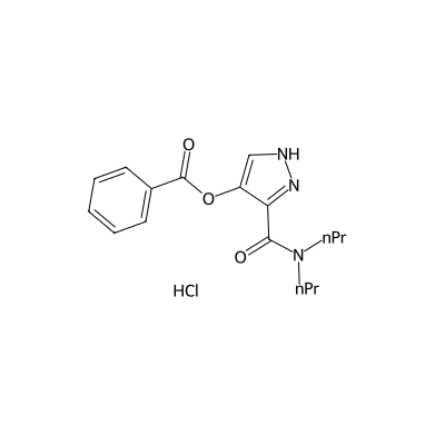 CCCN(CCC)C(=O)c1n[nH]cc1OC(=O)c1ccccc1.Cl